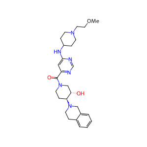 COCCN1CCC(Nc2cc(C(=O)N3CC[C@H](N4CCc5ccccc5C4)[C@@H](O)C3)ncn2)CC1